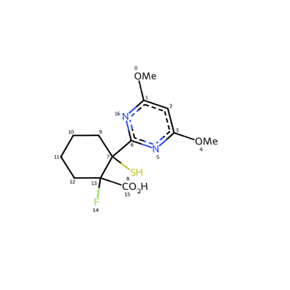 COc1cc(OC)nc(C2(S)CCCCC2(F)C(=O)O)n1